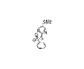 CSc1cnc(SS(=O)(=O)c2ccccc2)nc1